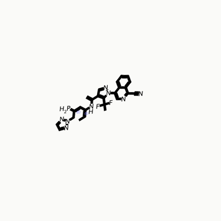 C=C(NC(/C=C(/P)Cn1nccn1)=C/C)c1cnn(-c2cnc(C#N)c3ccccc23)c1C(C)(F)F